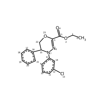 CCOC(=O)C1=NN(c2cccc(Cl)c2)C(c2ccccc2)CO1